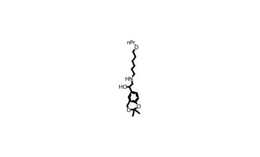 CCCOCCCCCCNCC(O)c1ccc2c(c1)COC(C)(C)O2